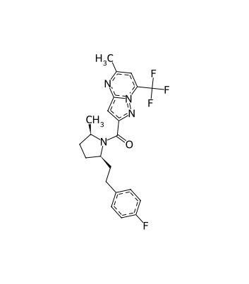 Cc1cc(C(F)(F)F)n2nc(C(=O)N3[C@@H](CCc4ccc(F)cc4)CC[C@H]3C)cc2n1